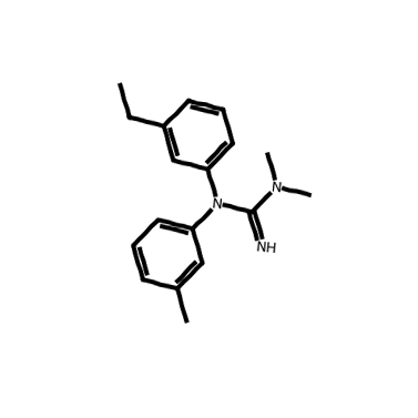 CCc1cccc(N(C(=N)N(C)C)c2cccc(C)c2)c1